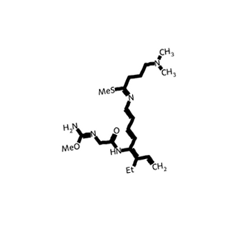 C=C\C(CC)=C(/C=C/C=C/N=C(/CCCN(C)C)SC)NC(=O)C/N=C(/N)OC